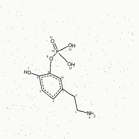 NCCc1ccc(O)c(OP(=O)(O)O)c1